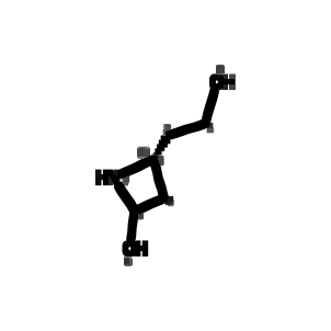 OCC[C@@H]1CC(O)N1